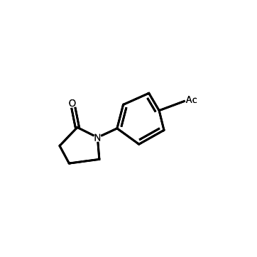 CC(=O)c1ccc(N2CCCC2=O)cc1